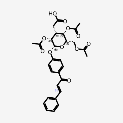 CC(=O)OC[C@@H]1O[C@H](Oc2ccc(C(=O)/C=C/c3ccccc3)cc2)[C@H](OC(C)=O)[C@H](CC(=O)O)[C@@H]1OC(C)=O